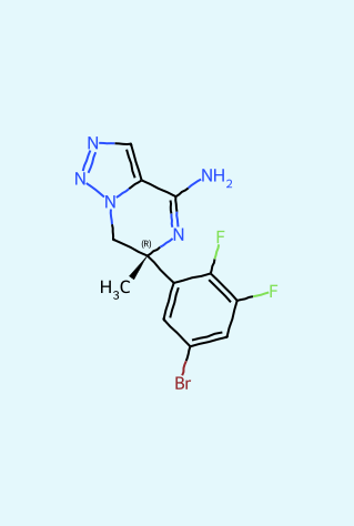 C[C@@]1(c2cc(Br)cc(F)c2F)Cn2nncc2C(N)=N1